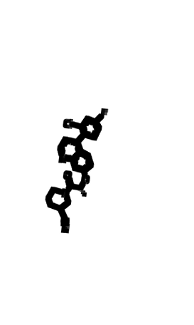 C[C@@H](Oc1ccc2c(-c3ccc(F)cc3Cl)ccnc2c1)C(=O)N1CCCC(C#N)C1